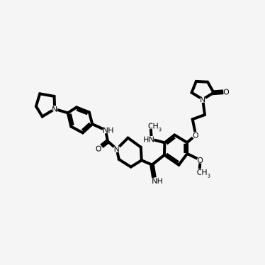 CNc1cc(OCCN2CCCC2=O)c(OC)cc1C(=N)C1CCN(C(=O)Nc2ccc(N3CCCC3)cc2)CC1